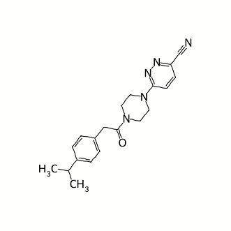 CC(C)c1ccc(CC(=O)N2CCN(c3ccc(C#N)nn3)CC2)cc1